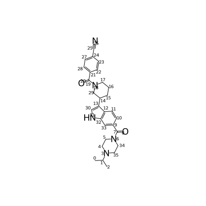 CC(C)N1CCN(C(=O)c2ccc3c(C4CCCN(C(=O)c5ccc(C#N)cc5)C4)c[nH]c3c2)CC1